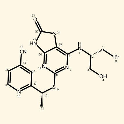 CC(C)C[C@H](CO)Nc1nc(S[C@@H](C)c2cc(C#N)ccn2)nc2[nH]c(=O)sc12